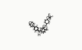 CC(F)(F)OC1CCC(COc2nc(Nc3ccc(N4CCOCC4)cc3)ncc2F)CC1